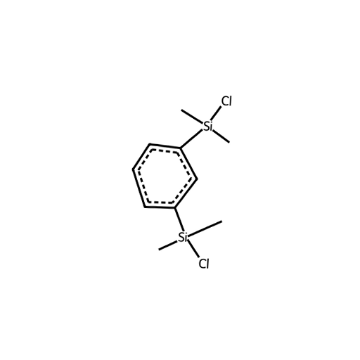 C[Si](C)(Cl)c1cccc([Si](C)(C)Cl)c1